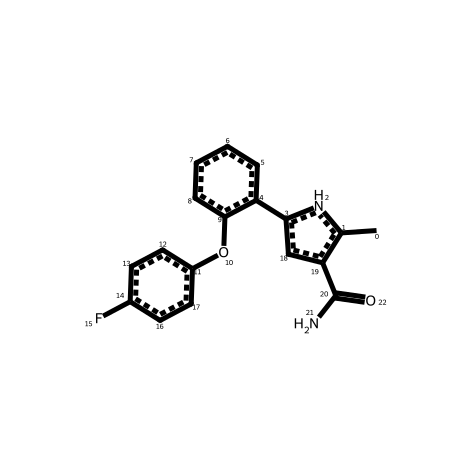 Cc1[nH]c(-c2ccccc2Oc2ccc(F)cc2)cc1C(N)=O